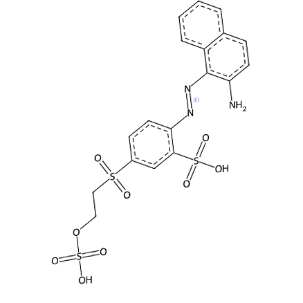 Nc1ccc2ccccc2c1/N=N/c1ccc(S(=O)(=O)CCOS(=O)(=O)O)cc1S(=O)(=O)O